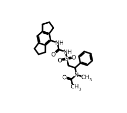 CC(=O)N(C)C(CS(=O)(=O)NC(=O)Nc1c2c(cc3c1CCC3)CCC2)c1ccccc1